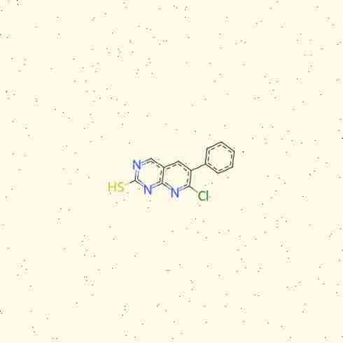 Sc1ncc2cc(-c3ccccc3)c(Cl)nc2n1